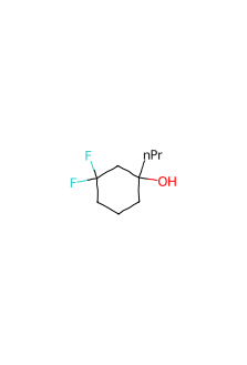 CCCC1(O)CCCC(F)(F)C1